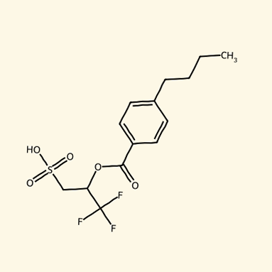 CCCCc1ccc(C(=O)OC(CS(=O)(=O)O)C(F)(F)F)cc1